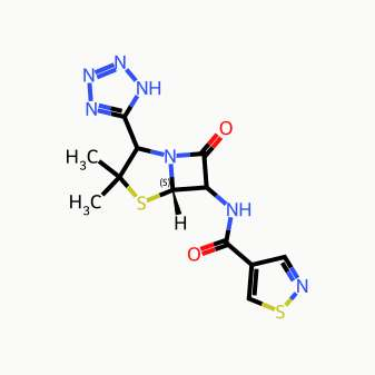 CC1(C)S[C@H]2C(NC(=O)c3cnsc3)C(=O)N2C1c1nnn[nH]1